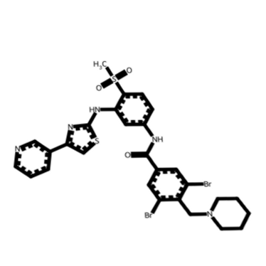 CS(=O)(=O)c1ccc(NC(=O)c2cc(Br)c(CN3CCCCC3)c(Br)c2)cc1Nc1nc(-c2cccnc2)cs1